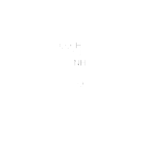 O=C(O)CC(Cc1ccco1)NI